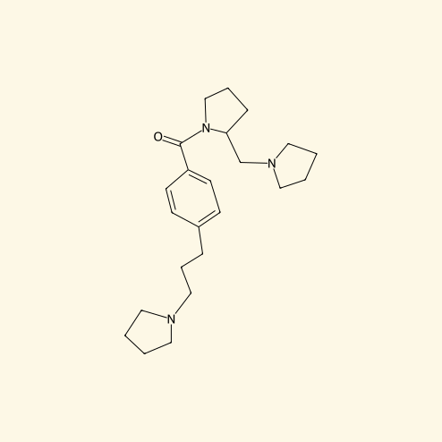 O=C(c1ccc(CCCN2CCCC2)cc1)N1CCCC1CN1CCCC1